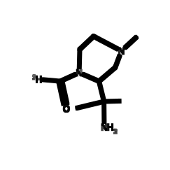 [2H]C(=O)N1CCN(C)CC1C(C)(C)N